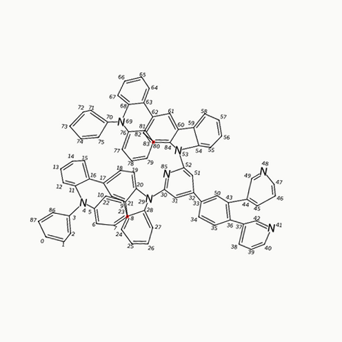 c1ccc(N(c2ccccc2)c2ccccc2-c2ccc3c(c2)c2ccccc2n3-c2cc(-c3ccc(-c4cccnc4)c(-c4cccnc4)c3)cc(-n3c4ccccc4c4cc(-c5ccccc5N(c5ccccc5)c5ccccc5)ccc43)n2)cc1